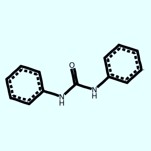 O=C(Nc1c[c]ccc1)Nc1ccccc1